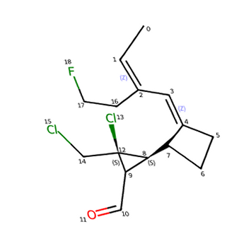 C/C=C(\C=C1\CCC1[C@H]1C(C=O)[C@]1(Cl)CCl)CCF